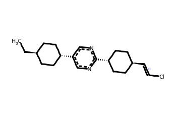 CC[C@H]1CC[C@H](c2cnc([C@H]3CC[C@H](/C=C/Cl)CC3)nc2)CC1